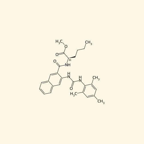 CCCC[C@@H](NC(=O)c1cc2ccccc2cc1NC(=O)Nc1c(C)cc(C)cc1C)C(=O)OC